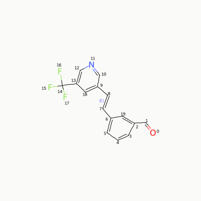 O=Cc1cccc(/C=C/c2cncc(C(F)(F)F)c2)c1